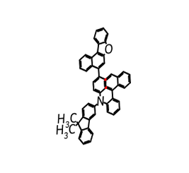 CC1(C)c2ccccc2-c2cc(N(c3ccc(-c4cc5oc6ccccc6c5c5ccccc45)cc3)c3ccccc3-c3cccc4ccccc34)ccc21